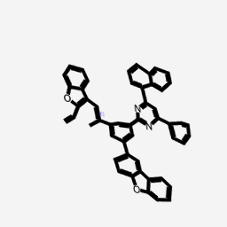 C=Cc1oc2ccccc2c1/C=C(\C)c1cc(-c2ccc3oc4ccccc4c3c2)cc(-c2nc(-c3ccccc3)cc(-c3cccc4ccccc34)n2)c1